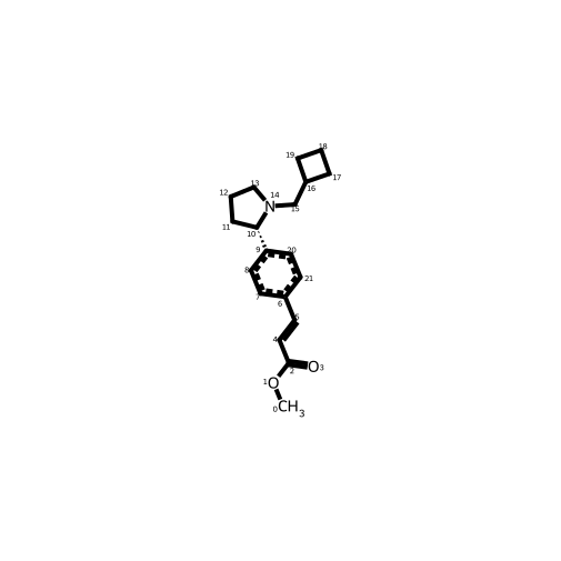 COC(=O)C=Cc1ccc([C@@H]2CCCN2CC2CCC2)cc1